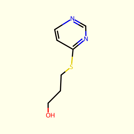 OCCCSc1ccncn1